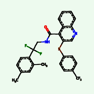 Cc1ccc(C(F)(F)CNC(=O)c2c(Sc3ccc(C(F)(F)F)cc3)cnc3ccccc23)c(C)c1